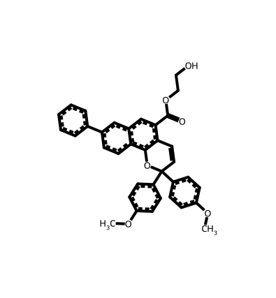 COc1ccc(C2(c3ccc(OC)cc3)C=Cc3c(C(=O)OCCO)cc4cc(-c5ccccc5)ccc4c3O2)cc1